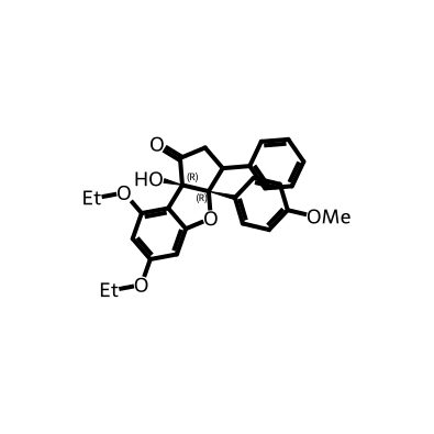 CCOc1cc(OCC)c2c(c1)O[C@@]1(c3ccc(OC)cc3)C(c3ccccc3)CC(=O)[C@@]21O